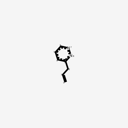 C=CCc1cc[c]nn1